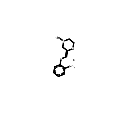 CC(C)(C)N1CCOC(=COc2ccccc2[N+](=O)[O-])C1.Cl